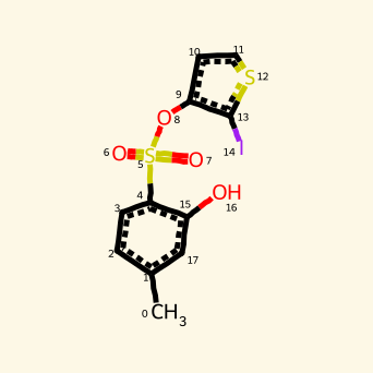 Cc1ccc(S(=O)(=O)Oc2ccsc2I)c(O)c1